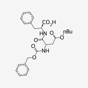 CCCCOC(=O)CC(NC(=O)OCc1ccccc1)C(=O)N[C@@H](Cc1ccccc1)C(=O)O